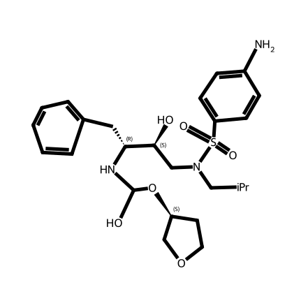 CC(C)CN(C[C@H](O)[C@@H](Cc1ccccc1)NC(O)O[C@H]1CCOC1)S(=O)(=O)c1ccc(N)cc1